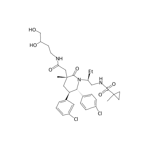 CC[C@@H](CNS(=O)(=O)C1(C)CC1)N1C(=O)[C@@](C)(CC(=O)NCCC(O)CO)C[C@H](c2cccc(Cl)c2)[C@H]1c1ccc(Cl)cc1